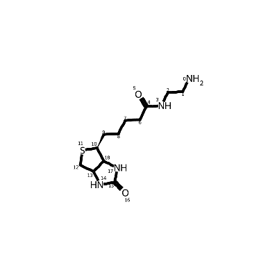 NCCNC(=O)CCCC[C@@H]1SCC2NC(=O)NC21